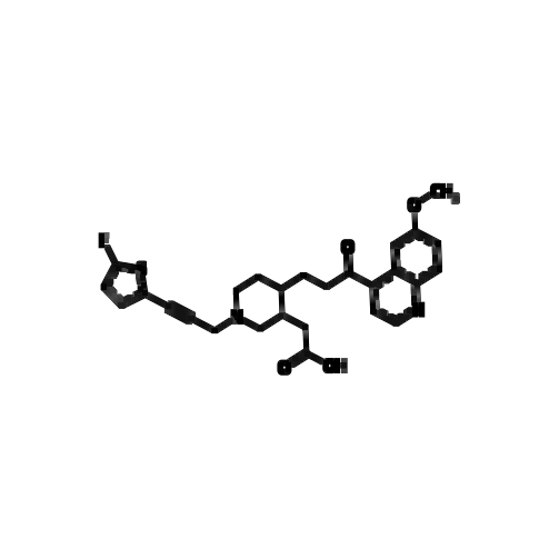 COc1ccc2nccc(C(=O)CCC3CCN(CC#Cc4ccc(F)s4)CC3CC(=O)O)c2c1